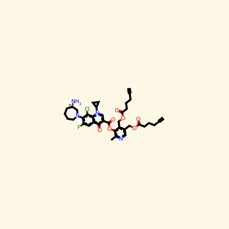 C#CCCCC(=O)OCc1cnc(C)c(OC(=O)c2cn(C3CC3)c3c(Cl)c(N4CCCC[C@@H](N)C4)c(F)cc3c2=O)c1COC(=O)CCCC#C